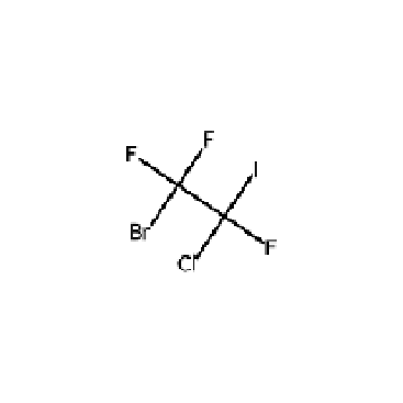 FC(F)(Br)C(F)(Cl)I